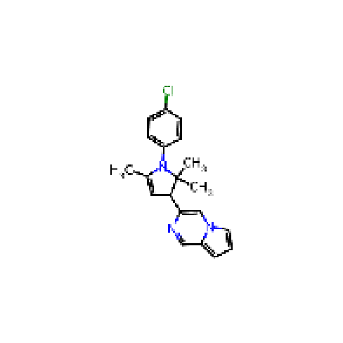 CC1=CC(c2cn3cccc3cn2)C(C)(C)N1c1ccc(Cl)cc1